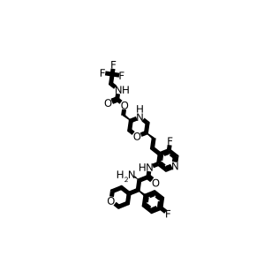 N[C@H](C(=O)Nc1cncc(F)c1CC[C@@H]1CN[C@H](COC(=O)NCC(F)(F)F)CO1)[C@@H](c1ccc(F)cc1)C1CCOCC1